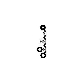 c1ccc(CSCCCNCCCN(CC2CCCCC2)C2CCCCC2)cc1